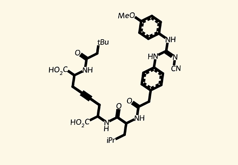 COc1ccc(NC(=NC#N)Nc2ccc(CC(=O)NC(CC(C)C)C(=O)NC(CC#CCC(NC(=O)CC(C)(C)C)C(=O)O)C(=O)O)cc2)cc1